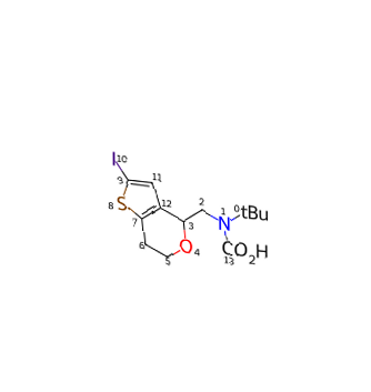 CC(C)(C)N(CC1OCCc2sc(I)cc21)C(=O)O